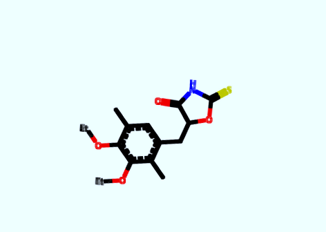 CCOc1c(C)cc(CC2OC(=S)NC2=O)c(C)c1OCC